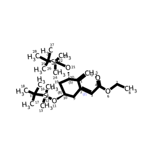 C=C1/C(=C\C(=O)OCC)C[C@@H](O[Si](C)(C)C(C)(C)C)C[C@@H]1O[Si](C)(C)C(C)(C)C